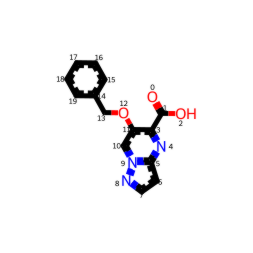 O=C(O)c1nc2ccnn2cc1OCc1ccccc1